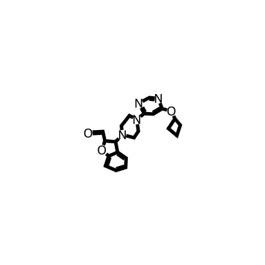 O=CC1Oc2ccccc2C1N1CCN(c2cc(OC3CCC3)ncn2)CC1